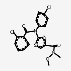 CON(C)C(=O)c1csc(N(C(=O)c2ccccc2Cl)c2ccc(Cl)cc2)n1